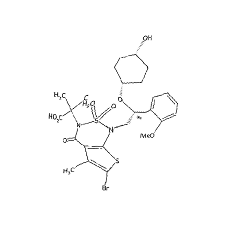 COc1ccccc1[C@H](CN1c2sc(Br)c(C)c2C(=O)N(C(C)(C)C(=O)O)S1(=O)=O)O[C@H]1CC[C@@H](O)CC1